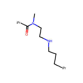 CC(C)CCCNCCN(C)C(=O)C(C)C